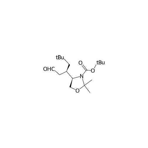 CC(C)(C)C[C@H](CC=O)[C@@H]1COC(C)(C)N1C(=O)OC(C)(C)C